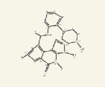 CCn1ncc2c3c(C(C)Nc4ccccc4N4CCN(C(C)=O)CC4)cc(C)cc3c(=O)n(C)c21